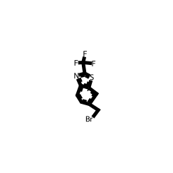 FC(F)(F)c1nc2ccc(CBr)cc2s1